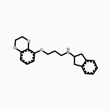 c1ccc2c(c1)CC(NCCCOc1cccc3c1OCCO3)C2